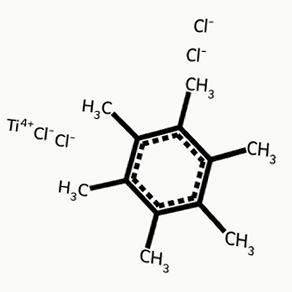 Cc1c(C)c(C)c(C)c(C)c1C.[Cl-].[Cl-].[Cl-].[Cl-].[Ti+4]